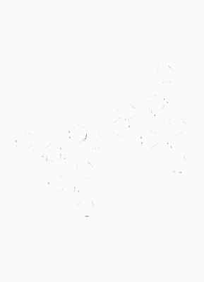 c1ccc(-c2cc(-c3ccccc3)nc(-c3cccc4c3c3cc(-c5ccc6c(c5)-c5cc(-c7ccc8c(c7)c7c(-c9nc(-c%10ccccc%10)cc(-c%10ccccc%10)n9)cccc7n8-c7ccccc7)ccc5C6)ccc3n4-c3ccccc3)n2)cc1